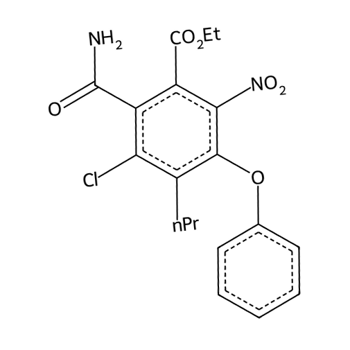 CCCc1c(Cl)c(C(N)=O)c(C(=O)OCC)c([N+](=O)[O-])c1Oc1ccccc1